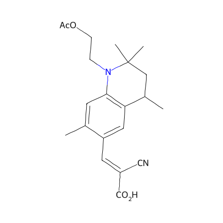 CC(=O)OCCN1c2cc(C)c(/C=C(\C#N)C(=O)O)cc2C(C)CC1(C)C